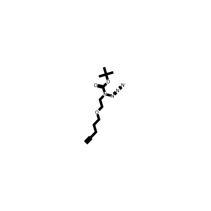 C#CCCCOCCN(N=[N+]=[N-])C(=O)OC(C)(C)C